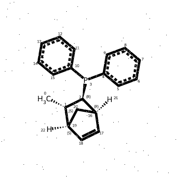 C[C@@H]1[C@@H](P(c2ccccc2)c2ccccc2)[C@H]2C=C[C@@H]1C2